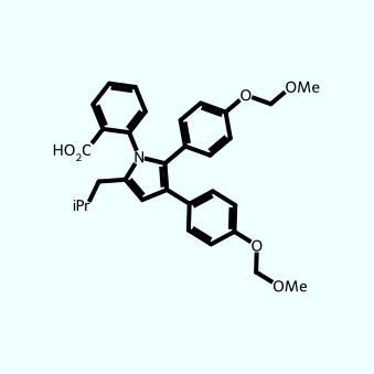 COCOc1ccc(-c2cc(CC(C)C)n(-c3ccccc3C(=O)O)c2-c2ccc(OCOC)cc2)cc1